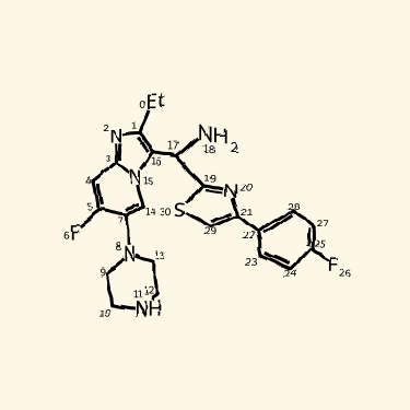 CCc1nc2cc(F)c(N3CCNCC3)cn2c1C(N)c1nc(-c2ccc(F)cc2)cs1